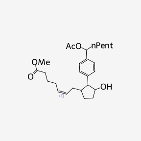 CCCCCC(OC(C)=O)c1ccc(C2C(O)CCC2C/C=C\CCCC(=O)OC)cc1